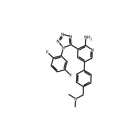 CN(C)Cc1ccc(-c2cnc(N)c(-c3nnnn3-c3cc(F)ccc3F)c2)cc1